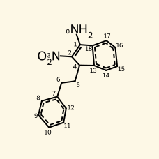 NC1=C([N+](=O)[O-])C(CCc2ccccc2)c2ccccc21